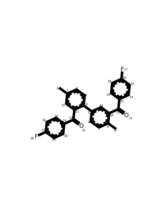 Cc1ccc(-c2ccc(C)c(C(=O)c3ccc(F)cc3)c2)c(C(=O)c2ccc(F)cc2)c1